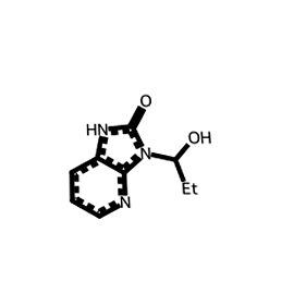 CCC(O)n1c(=O)[nH]c2cccnc21